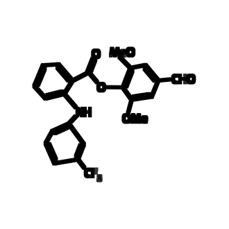 COc1cc(C=O)cc(OC)c1OC(=O)c1ccccc1Nc1cccc(C(F)(F)F)c1